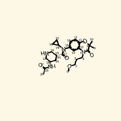 COCCCN1C(=O)C(C)(C)Oc2ccc(N(C(=O)[C@H]3CNC[C@@H](NC(C)=O)C3)C3CC3)cc21